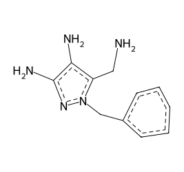 NCc1c(N)c(N)nn1Cc1ccccc1